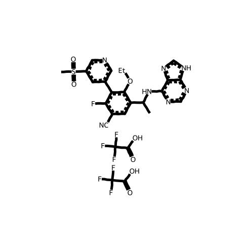 CCOc1c(C(C)Nc2ncnc3[nH]cnc23)cc(C#N)c(F)c1-c1cncc(S(C)(=O)=O)c1.O=C(O)C(F)(F)F.O=C(O)C(F)(F)F